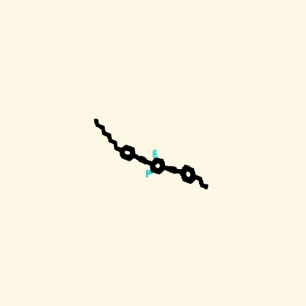 CCCCCCCCc1ccc(C#Cc2c(F)cc(C#Cc3ccc(CCC)cc3)cc2F)cc1